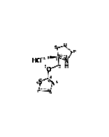 C[C@@]1(COc2nccs2)CCCN1.Cl